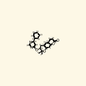 CC1(C)Oc2cc3oc(=O)ccc3cc2C[C@@H]1Oc1cc(-c2ccccc2)ncn1